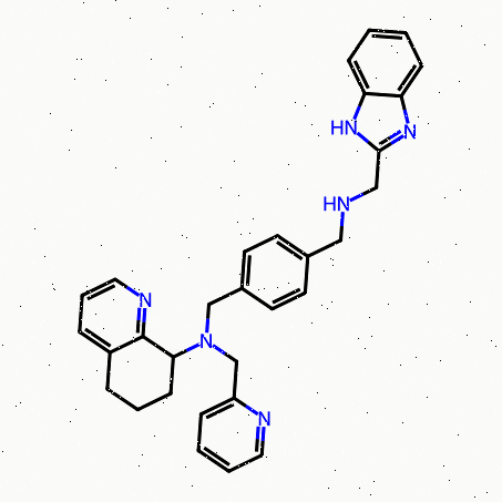 c1ccc(CN(Cc2ccc(CNCc3nc4ccccc4[nH]3)cc2)C2CCCc3cccnc32)nc1